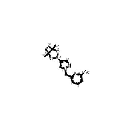 CC(=O)c1cccc(Cn2cc(B3OC(C)(C)C(C)(C)O3)cn2)n1